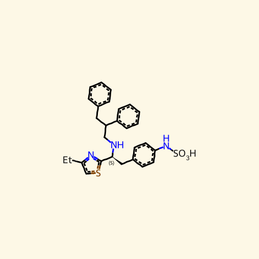 CCc1csc([C@H](Cc2ccc(NS(=O)(=O)O)cc2)NCC(Cc2ccccc2)c2ccccc2)n1